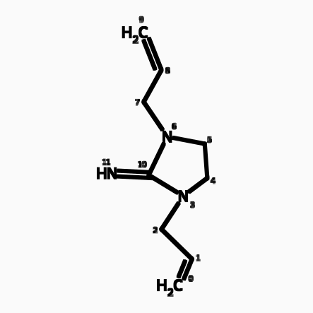 C=CCN1CCN(CC=C)C1=N